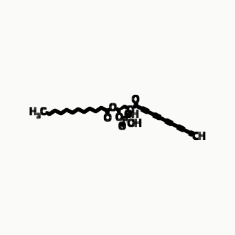 C#CC#CC#CC#CC#CC(=O)OC[C@H](OC(=O)CCCCCCCCCCC)OP(=O)(O)O